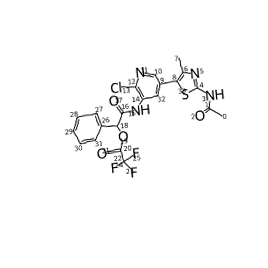 CC(=O)Nc1nc(C)c(-c2cnc(Cl)c(NC(=O)C(OC(=O)C(F)(F)F)c3ccccc3)c2)s1